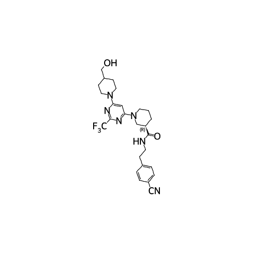 N#Cc1ccc(CCNC(=O)[C@@H]2CCCN(c3cc(N4CCC(CO)CC4)nc(C(F)(F)F)n3)C2)cc1